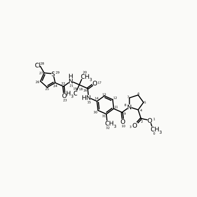 COC(=O)C1CCCN1C(=O)c1ccc(NC(=O)C(C)(C)NC(=O)c2ccc(Cl)s2)cc1C